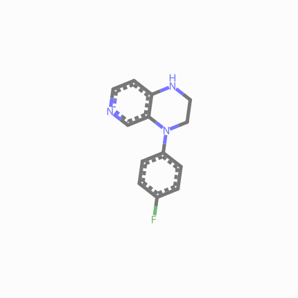 Fc1ccc(N2CCNc3ccncc32)cc1